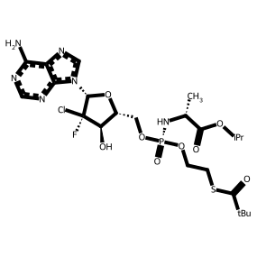 CC(C)OC(=O)[C@@H](C)N[P@@](=O)(OCCSC(=O)C(C)(C)C)OC[C@H]1O[C@@H](n2cnc3c(N)ncnc32)[C@](F)(Cl)[C@@H]1O